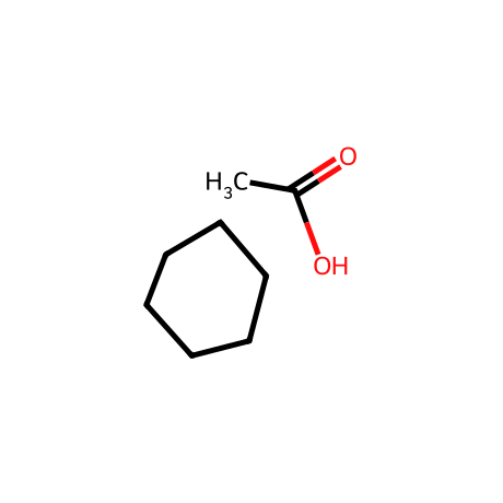 C1CCCCC1.CC(=O)O